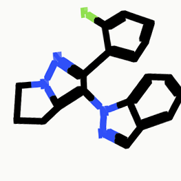 Fc1ccccc1-c1nn2c(c1-n1ncc3ccccc31)CCC2